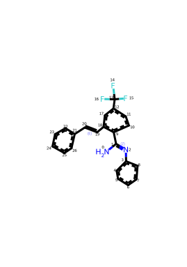 N/C(=N\c1ccccc1)c1ccc(C(F)(F)F)cc1/C=C/c1ccccc1